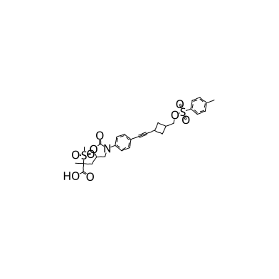 Cc1ccc(S(=O)(=O)OCC2CC(C#Cc3ccc(N4CC(CC(C)(C(=O)O)S(C)(=O)=O)OC4=O)cc3)C2)cc1